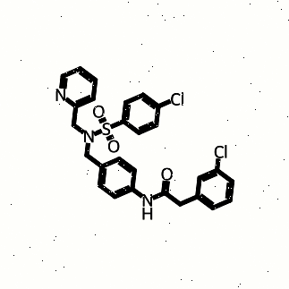 O=C(Cc1cccc(Cl)c1)Nc1ccc(CN(Cc2ccccn2)S(=O)(=O)c2ccc(Cl)cc2)cc1